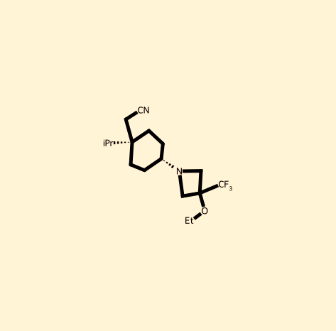 CCOC1(C(F)(F)F)CN([C@H]2CC[C@@](CC#N)(C(C)C)CC2)C1